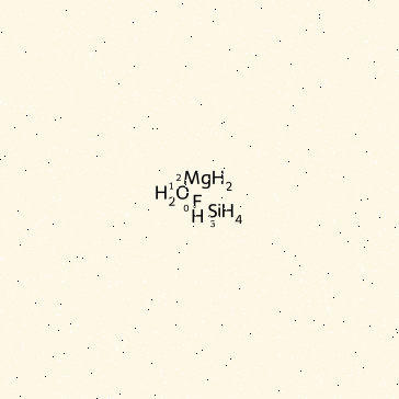 F.O.[MgH2].[SiH4]